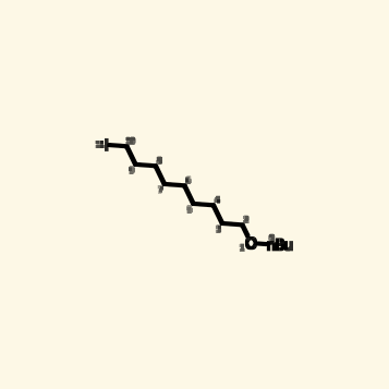 CCCCOCCCCCCCCCI